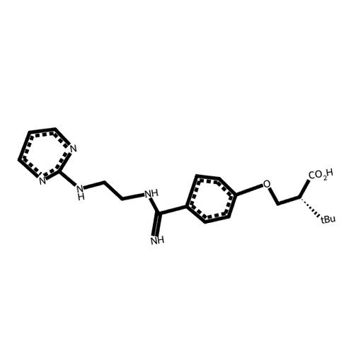 CC(C)(C)[C@H](COc1ccc(C(=N)NCCNc2ncccn2)cc1)C(=O)O